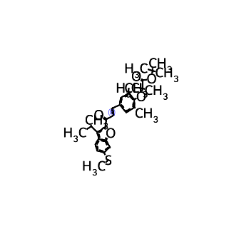 CSc1ccc2c(C(C)C)c(C(=O)/C=C/c3cc(C)c(OC(C)(C)C(=O)OC(C)(C)C)c(C)c3)oc2c1